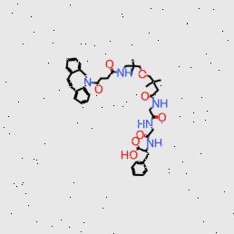 CC(C)(CNC(=O)CCC(=O)N1Cc2ccccc2/C=C\c2ccccc21)COCC(C)(C)CC(=O)NCC(=O)NCC(=O)N[C@@H](Cc1ccccc1)C(=O)O